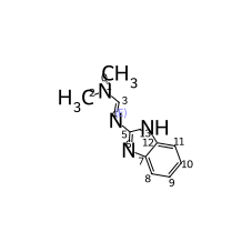 CN(C)/C=N/c1nc2ccccc2[nH]1